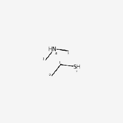 CCS.CNC